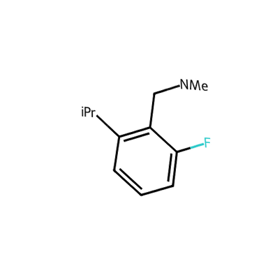 CNCc1c(F)cccc1C(C)C